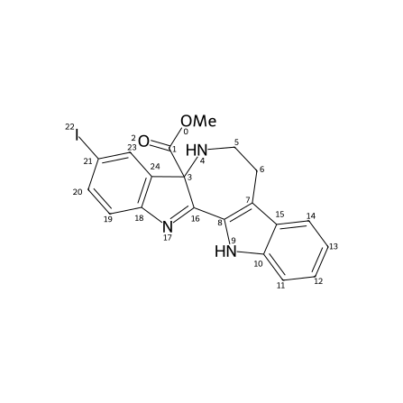 COC(=O)C12NCCc3c([nH]c4ccccc34)C1=Nc1ccc(I)cc12